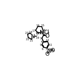 Cl.O=C(Cc1ccc([N+](=O)[O-])cc1)N1CCCC[C@H]1CN1CCCC1